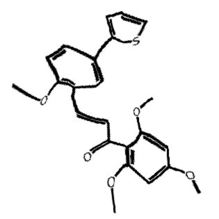 COc1cc(OC)c(C(=O)C=Cc2cc(-c3cccs3)ccc2OC)c(OC)c1